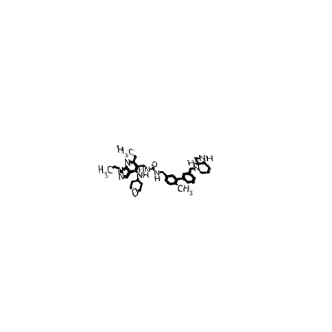 CCc1nc2c(cnn2CC)c(NC2CCOCC2)c1CNC(=O)NCc1ccc(C)c(-c2cccc(CN3CCCC4NC[C@H]43)c2)c1